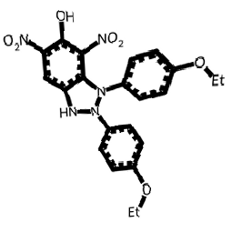 CCOc1ccc(N2Nc3cc([N+](=O)[O-])c(O)c([N+](=O)[O-])c3N2c2ccc(OCC)cc2)cc1